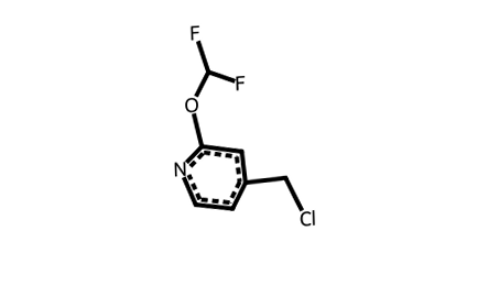 FC(F)Oc1cc(CCl)ccn1